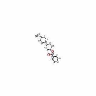 CCCC1CCC(C2CCC(OC(=O)c3ccccc3)CC2)CC1